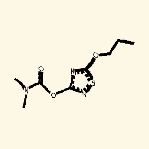 CCCOc1nc(OC(=O)N(C)C)ns1